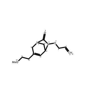 C=CCON1C(=O)N2CC(CCOC)=CC1C2